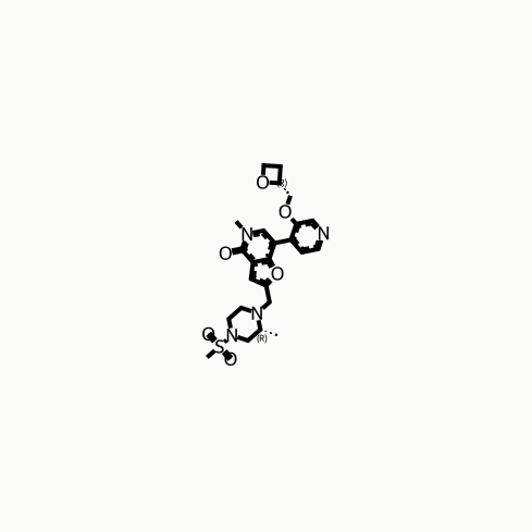 C[C@@H]1CN(S(C)(=O)=O)CCN1Cc1cc2c(=O)n(C)cc(-c3ccncc3OC[C@H]3CCO3)c2o1